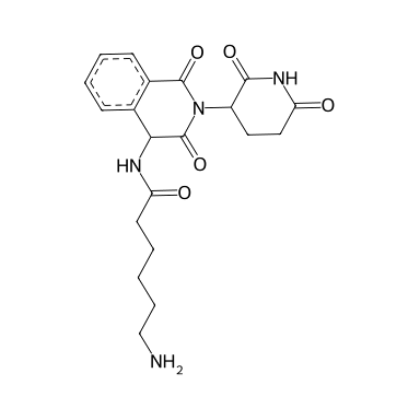 NCCCCCC(=O)NC1C(=O)N(C2CCC(=O)NC2=O)C(=O)c2ccccc21